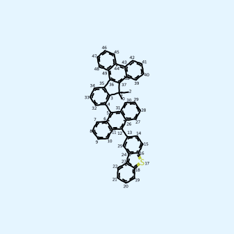 CC1(C)c2c(-c3c4ccccc4c(-c4ccc5sc6ccccc6c5c4)c4ccccc34)cccc2-c2c1c1ccccc1c1ccccc21